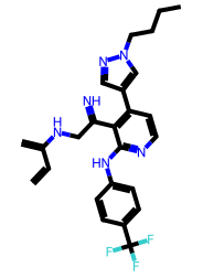 C=CC(=C)NCC(=N)c1c(-c2cnn(CCCC)c2)ccnc1Nc1ccc(C(F)(F)F)cc1